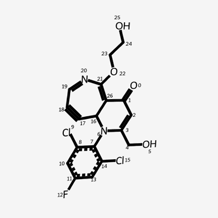 O=C1C=C(CO)N(c2c(Cl)cc(F)cc2Cl)C2C#CC=NC(OCCO)=C12